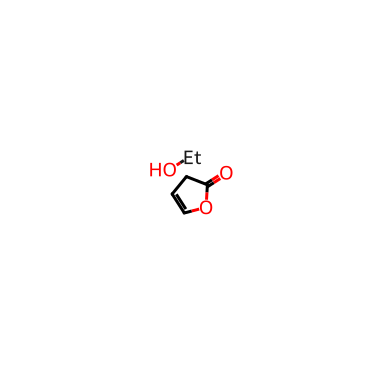 CCO.O=C1CC=CO1